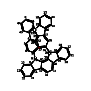 c1ccc(-c2ccc(-n3c4ccccc4c4ccc5c6ccccc6n(-c6ccc7oc8ccccc8c7c6)c5c43)cc2)cc1